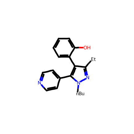 CCCCn1nc(CC)c(-c2ccccc2O)c1-c1ccncc1